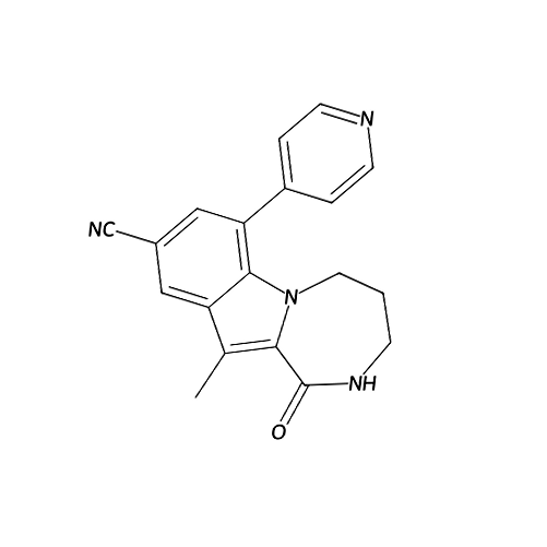 Cc1c2n(c3c(-c4ccncc4)cc(C#N)cc13)CCCNC2=O